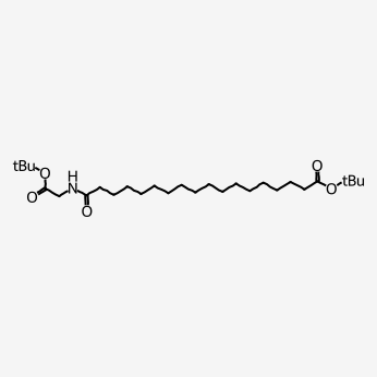 CC(C)(C)OC(=O)CCCCCCCCCCCCCCCCC(=O)NCC(=O)OC(C)(C)C